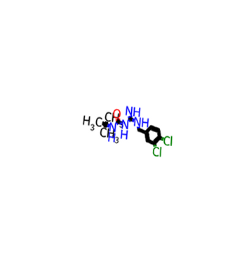 CC(C)(C)NC(=O)NC(=N)NCc1ccc(Cl)c(Cl)c1